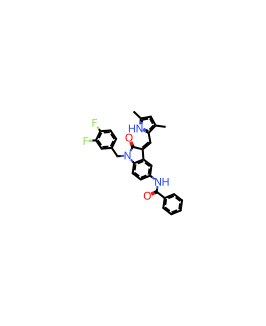 Cc1cc(C)c(/C=C2\C(=O)N(Cc3ccc(F)c(F)c3)c3ccc(NC(=O)c4ccccc4)cc32)[nH]1